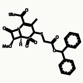 CO[C@H]1C(=O)N2C(C(=O)C(C)(C)C)=C(C)C(SCC(=O)OC(c3ccccc3)c3ccccc3)S(=O)(=O)[C@@H]12